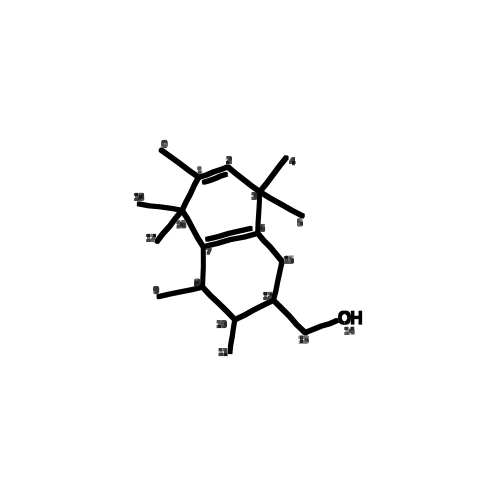 CC1=CC(C)(C)C2=C(C(C)C(C)C(CO)C2)C1(C)C